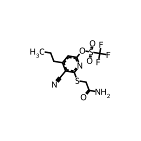 CCCc1cc(OS(=O)(=O)C(F)(F)F)nc(SCC(N)=O)c1C#N